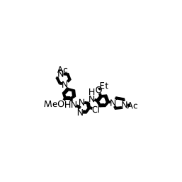 CCOc1cc(N2CCN(C(C)=O)CC2)ccc1Nc1nc(Nc2ccc(N3CCN(C(C)=O)CC3)cc2OC)ncc1Cl